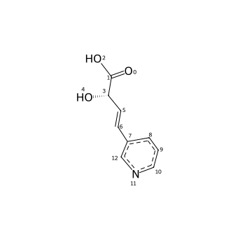 O=C(O)[C@@H](O)/C=C/c1cccnc1